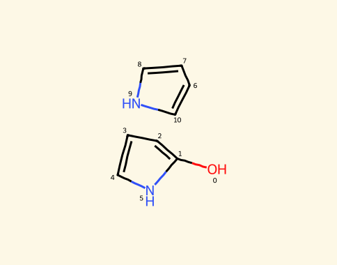 Oc1ccc[nH]1.c1cc[nH]c1